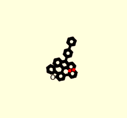 c1ccc(-c2ccc(-c3c4ccccc4c(-c4c(-c5ccccc5)ccc5oc6ccccc6c45)c4ccccc34)cc2)cc1